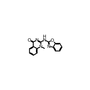 Cn1c(Nc2nc3ccccc3o2)nc(=O)c2ccccc21